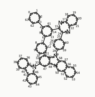 c1ccc(-c2cc(-c3ccccc3)cc(-c3nc4ccccc4nc3-c3ccc(-n4c5ccc(-n6c7ccccc7c7ccccc76)cc5c5cc6ccccc6cc54)cc3)c2)cc1